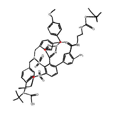 COc1ccc(CN(Cc2ccc(OC)cc2)S(=O)(=O)c2c(S(=O)(=O)NCCN(C(=O)O)C(C)(C)C)ccc(-c3ccc(N)c(C(=O)NCCNC(=O)OC(C)(C)C)c3)c2-c2nnn(Cc3ccc(OC)cc3)n2)cc1